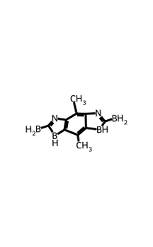 BC1=Nc2c(C)c3c(c(C)c2B1)BC(B)=N3